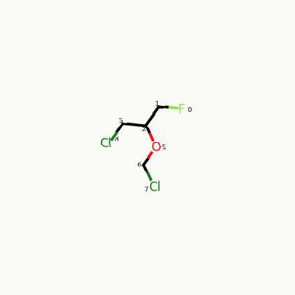 FCC(CCl)OCCl